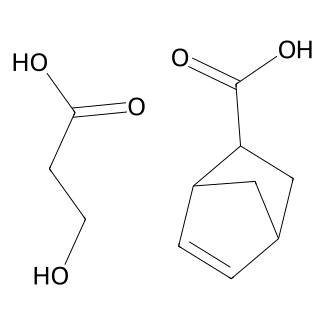 O=C(O)C1CC2C=CC1C2.O=C(O)CCO